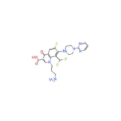 NCCCn1cc(C(=O)O)c(=O)c2cc(F)c(N3CCN(c4ncccn4)CC3)c(C(F)F)c21